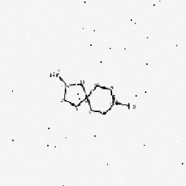 CC(C)N1CCC2(CCN(I)CC2)C1